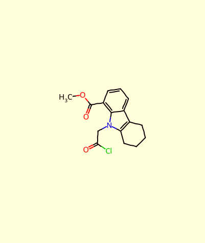 COC(=O)c1cccc2c3c(n(CC(=O)Cl)c12)CCCC3